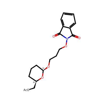 CC(=O)OC[C@H]1CCC[C@@H](OCCCON2C(=O)c3ccccc3C2=O)O1